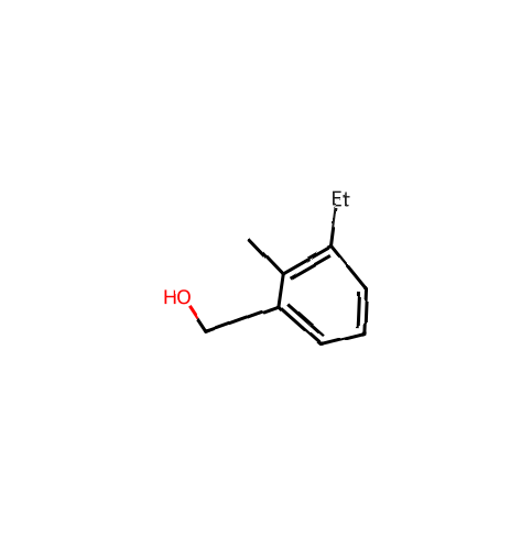 CCc1cccc(CO)c1C